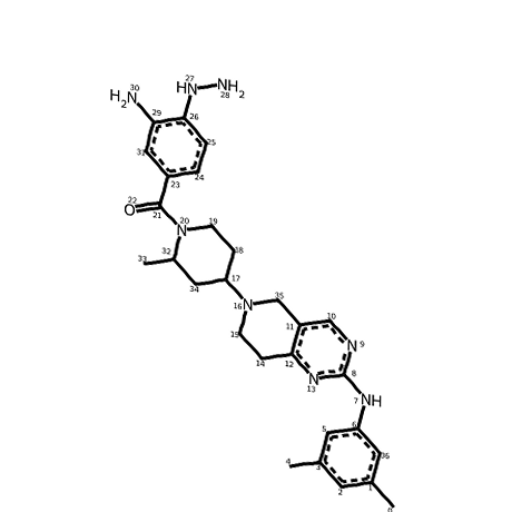 Cc1cc(C)cc(Nc2ncc3c(n2)CCN(C2CCN(C(=O)c4ccc(NN)c(N)c4)C(C)C2)C3)c1